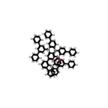 c1ccc(-c2cc(-c3ccccc3)cc(N3c4cc(-c5ccccc5)ccc4B4c5ccc(-c6ccccc6)cc5N(c5cc(-c6ccccc6)cc(-c6ccccc6)c5)c5cc(-c6cccc7c8ccccc8n(-c8ccccc8)c67)cc3c54)c2)cc1